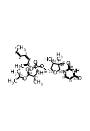 C=C(/C=C\C=C/C)OP(=O)(N[C@@H](C)C(=O)OC(C)C)OC[C@H]1O[C@@H](n2ccc(=O)[nH]c2=O)[C@](C)(F)[C@@H]1O